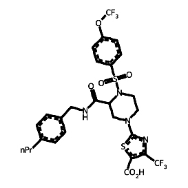 CCCc1ccc(CNC(=O)C2CN(c3nc(C(F)(F)F)c(C(=O)O)s3)CCN2S(=O)(=O)c2ccc(OC(F)(F)F)cc2)cc1